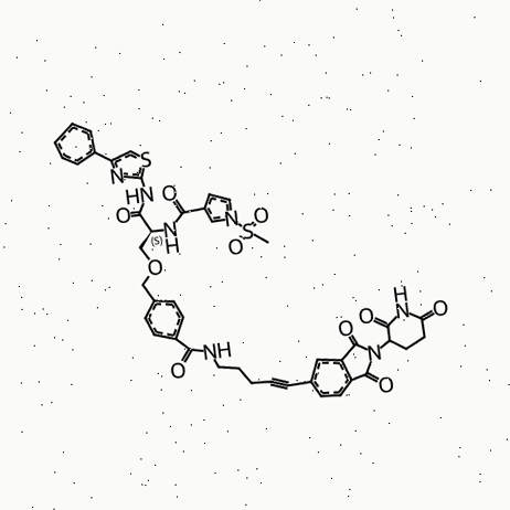 CS(=O)(=O)n1ccc(C(=O)N[C@@H](COCc2ccc(C(=O)NCCCC#Cc3ccc4c(c3)C(=O)N(C3CCC(=O)NC3=O)C4=O)cc2)C(=O)Nc2nc(-c3ccccc3)cs2)c1